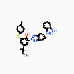 Cc1ccc(Sc2cc(C(C)(C)CC(C)(C)C)cc(-n3nc4ccccc4n3)c2O)cc1.c1ccc2[nH]nnc2c1